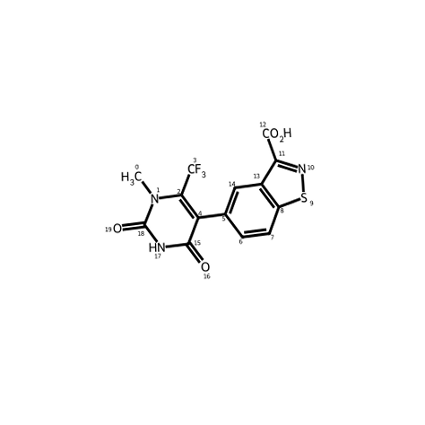 Cn1c(C(F)(F)F)c(-c2ccc3snc(C(=O)O)c3c2)c(=O)[nH]c1=O